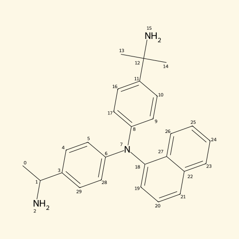 CC(N)c1ccc(N(c2ccc(C(C)(C)N)cc2)c2cccc3ccccc23)cc1